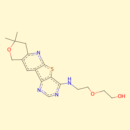 CC1(C)Cc2nc3sc4c(NCCOCCO)ncnc4c3cc2CO1